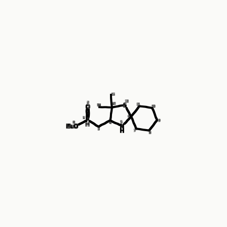 CC(C)CO[PH](=O)CC1NC2(CCCCC2)SC1(C)C